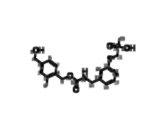 Cc1cc(CO)ccc1COC(=O)NCc1ccnc(SCP(C)(=O)O)c1